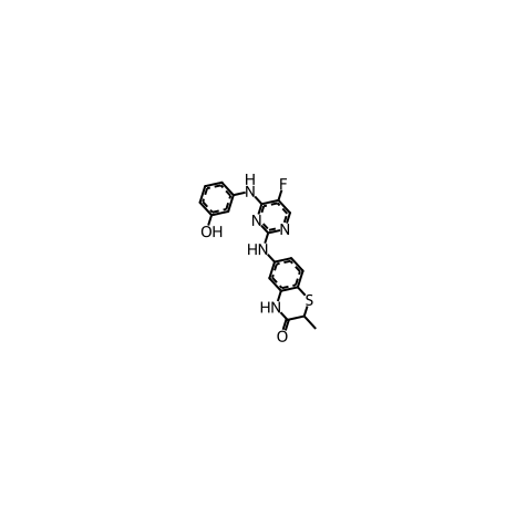 CC1Sc2ccc(Nc3ncc(F)c(Nc4cccc(O)c4)n3)cc2NC1=O